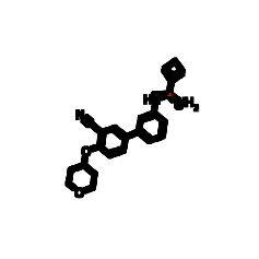 N#Cc1cc(-c2cccc(NC(=O)C3C4CC3C4C(N)=O)c2)ccc1OC1CCOCC1